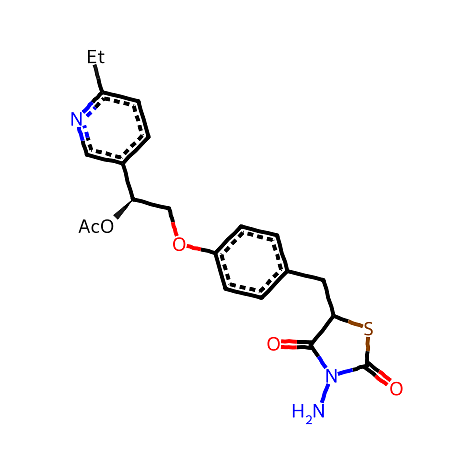 CCc1ccc([C@@H](COc2ccc(CC3SC(=O)N(N)C3=O)cc2)OC(C)=O)cn1